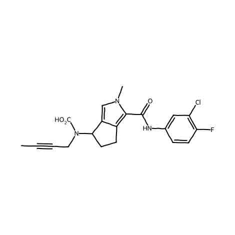 CC#CCN(C(=O)O)C1CCc2c1cn(C)c2C(=O)Nc1ccc(F)c(Cl)c1